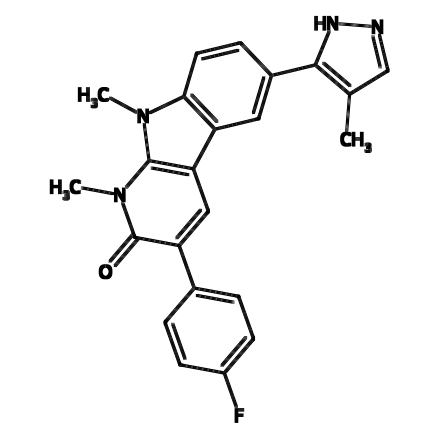 Cc1cn[nH]c1-c1ccc2c(c1)c1cc(-c3ccc(F)cc3)c(=O)n(C)c1n2C